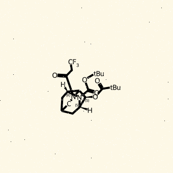 CC(C)(C)OC(=O)N1[C@@H]2CC3C[C@H]1[C@H](OC(=O)C(C)(C)C)C2N(C(=O)CC(F)(F)F)C3